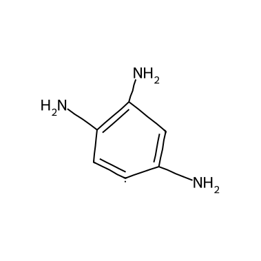 Nc1[c]cc(N)c(N)c1